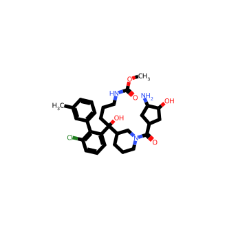 COC(=O)NCCCC(O)(c1cccc(Cl)c1-c1cccc(C)c1)C1CCCN(C(=O)C2CC(N)C(O)C2)C1